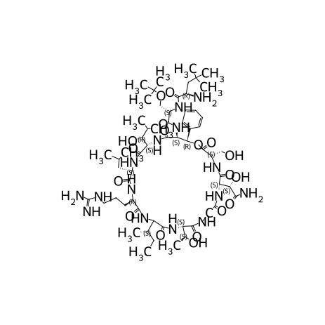 CC[C@H](C)C1NC(=O)[C@@H](CCCNC(=N)N)NC(=O)[C@H](CC(C)C)NC(=O)[C@H]([C@H](O)C(C)C)NC(=O)[C@@H](NC(=O)[C@H](COC(C)(C)C)NC(=O)[C@H](N)CC(C)(C)C)[C@@H](c2ccccc2)OC(=O)[C@H](CO)NC(=O)[C@H]([C@H](O)C(N)=O)NC(=O)CNC(=O)[C@H]([C@H](C)O)NC1=O